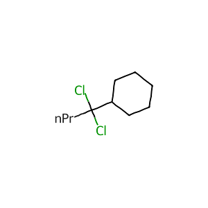 CCCC(Cl)(Cl)C1CCCCC1